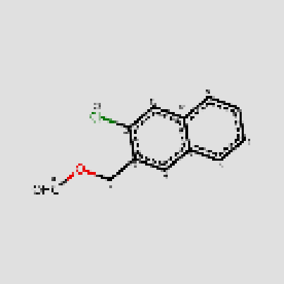 O=COCc1cc2ccccc2cc1Cl